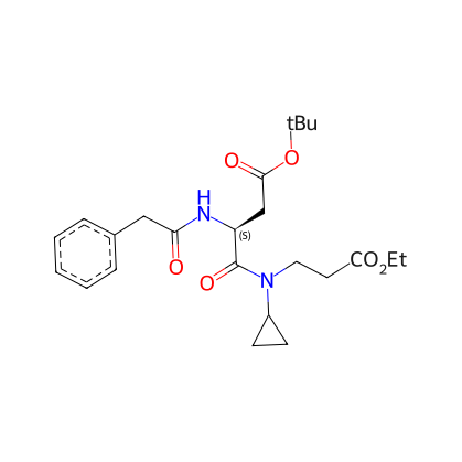 CCOC(=O)CCN(C(=O)[C@H](CC(=O)OC(C)(C)C)NC(=O)Cc1ccccc1)C1CC1